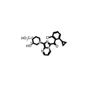 O=C(c1c(Cl)cccc1C1CC1)c1nc(N2CC[C@@H](C(=O)O)[C@H](O)C2)c2ncccn12